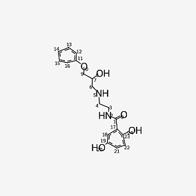 O=C(NCCNCC(O)COc1ccccc1)c1cc(O)ccc1O